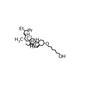 CC[C@H](/C=C/[C@@H](C)[C@H]1CC[C@H]2[C@@H]3CC=C4C[C@@H](OCCCCCCO)CC[C@]4(C)[C@H]3CC[C@]12C)C(C)C